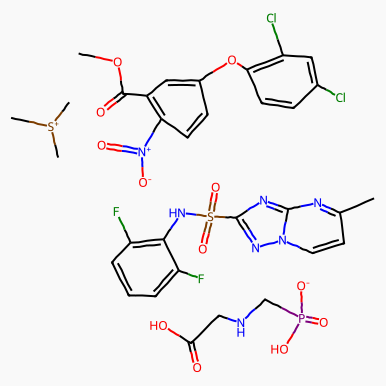 COC(=O)c1cc(Oc2ccc(Cl)cc2Cl)ccc1[N+](=O)[O-].C[S+](C)C.Cc1ccn2nc(S(=O)(=O)Nc3c(F)cccc3F)nc2n1.O=C(O)CNCP(=O)([O-])O